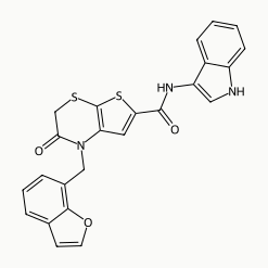 O=C(Nc1c[nH]c2ccccc12)c1cc2c(s1)SCC(=O)N2Cc1cccc2ccoc12